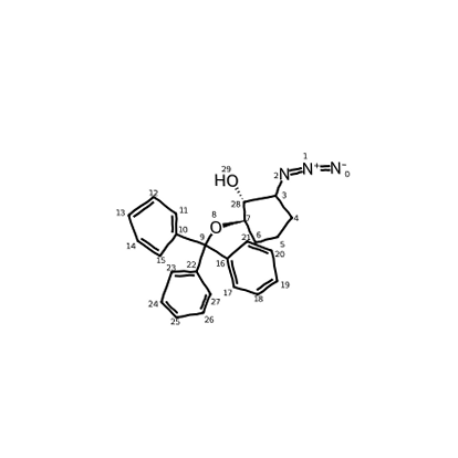 [N-]=[N+]=NC1CCC[C@@H](OC(c2ccccc2)(c2ccccc2)c2ccccc2)[C@@H]1O